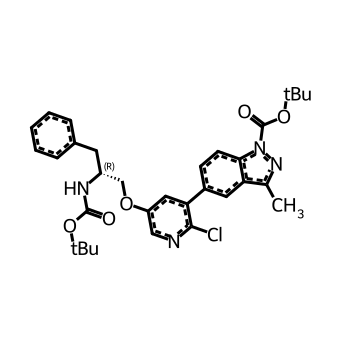 Cc1nn(C(=O)OC(C)(C)C)c2ccc(-c3cc(OC[C@@H](Cc4ccccc4)NC(=O)OC(C)(C)C)cnc3Cl)cc12